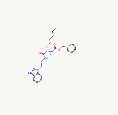 CCCCOC[C@H](NC(=O)OCc1ccccc1)C(=O)NCCc1n[nH]c2ccccc12